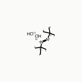 CC(C)(C)N=NC(C)(C)C.Cl.Cl